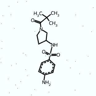 CC(C)(C)C(=O)N1CCC(NS(=O)(=O)c2ccc(N)cc2)C1